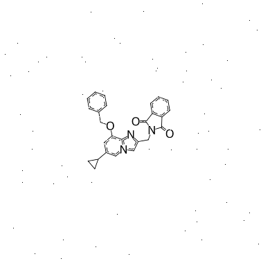 O=C1c2ccccc2C(=O)N1Cc1cn2cc(C3CC3)cc(OCc3ccccc3)c2n1